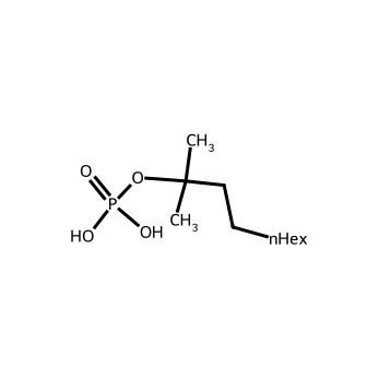 CCCCCCCCC(C)(C)OP(=O)(O)O